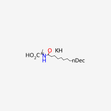 CCCCCCCCCCCCCCCCCC(=O)N[C@@H](C)C(=O)O.[KH]